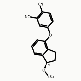 CC(C)(C)O[C@@H]1CCc2c(Oc3ccc(C#N)c(C#N)c3)cccc21